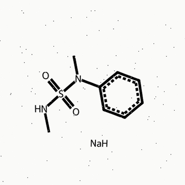 CNS(=O)(=O)N(C)c1ccccc1.[NaH]